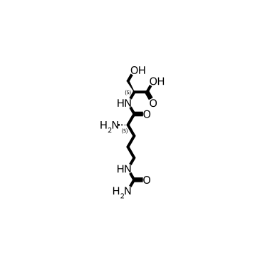 NC(=O)NCCC[C@H](N)C(=O)N[C@@H](CO)C(=O)O